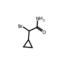 NC(=O)C(Br)C1CC1